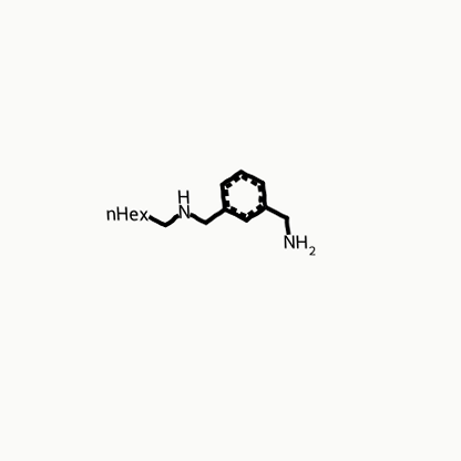 CCCCCCCNCc1cccc(CN)c1